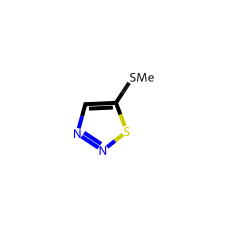 CSc1cnns1